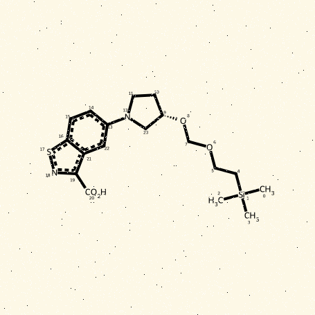 C[Si](C)(C)CCOCO[C@H]1CCN(c2ccc3snc(C(=O)O)c3c2)C1